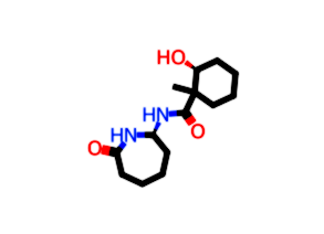 CC1(C(=O)N[C@H]2CCCCC(=O)N2)CCCC[C@@H]1O